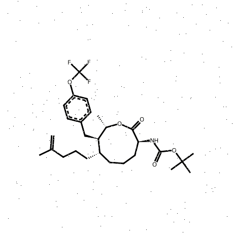 C=C(C)CCC[C@H]1CCC[C@H](NC(=O)OC(C)(C)C)C(=O)O[C@@H](C)[C@@H]1Cc1ccc(OC(F)(F)F)cc1